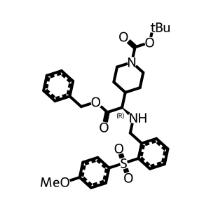 COc1ccc(S(=O)(=O)c2ccccc2CN[C@@H](C(=O)OCc2ccccc2)C2CCN(C(=O)OC(C)(C)C)CC2)cc1